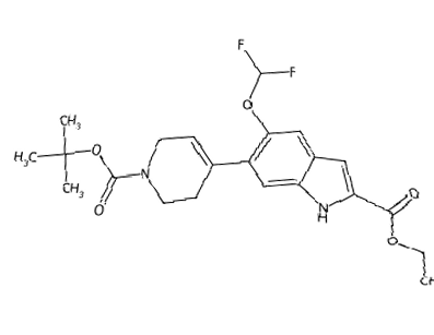 CCOC(=O)c1cc2cc(OC(F)F)c(C3=CCN(C(=O)OC(C)(C)C)CC3)cc2[nH]1